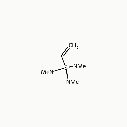 C=C[Si](NC)(NC)NC